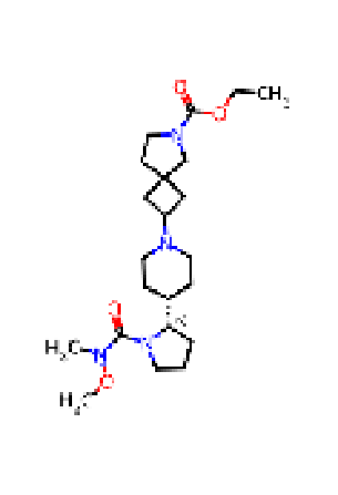 CCOC(=O)N1CCC2(CC(N3CCC([C@@H]4CCCN4C(=O)N(C)OC)CC3)C2)C1